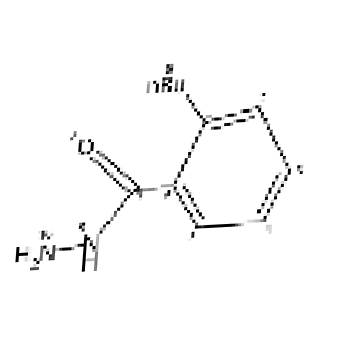 CCCCc1ccccc1C(=O)NN